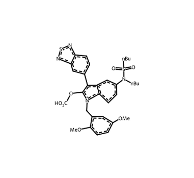 CCCCN(c1ccc2c(c1)c(-c1ccc3nsnc3c1)c(OC(=O)O)n2Cc1cc(OC)ccc1OC)S(=O)(=O)CCCC